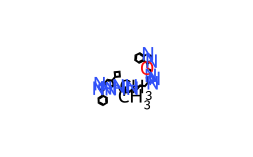 CC(C)(CNCCCc1cn(COc2ncnc3ccccc23)nn1)CNc1nn2c(-c3ccccc3)nnc2cc1C1CCC1